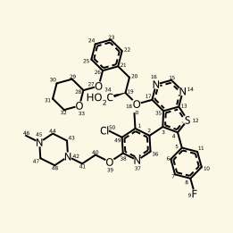 Cc1c(-c2c(-c3ccc(F)cc3)sc3ncnc(O[C@H](Cc4ccccc4OC4CCCCO4)C(=O)O)c23)cnc(OCCN2CCN(C)CC2)c1Cl